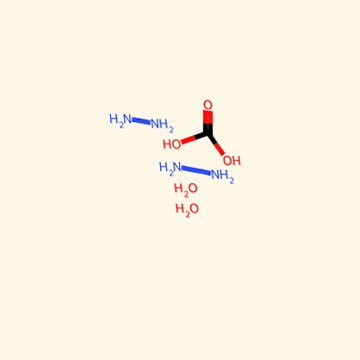 NN.NN.O.O.O=C(O)O